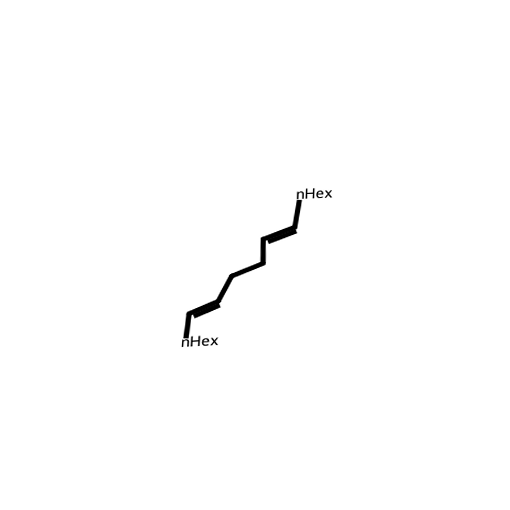 [CH2]CCCCCC=CCCC=CCCCCC[CH2]